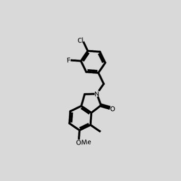 COc1ccc2c(c1C)C(=O)N(Cc1ccc(Cl)c(F)c1)C2